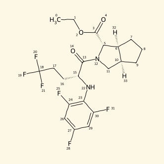 CCOC(=O)[C@@H]1[C@H]2CCC[C@H]2CN1C(=O)[C@@H](CCC(F)(F)F)Nc1c(F)cc(F)cc1F